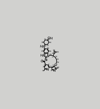 Cc1cc2cc(n1)-c1cnn(C)c1OCCCC(C1CC1)CN1/C(=N/C2=O)Nc2cc(NC3CCC(O)CC3)ccc21